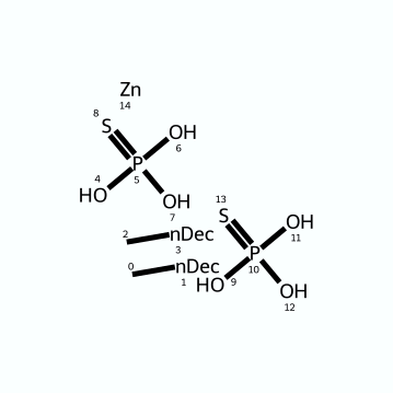 CCCCCCCCCCC.CCCCCCCCCCC.OP(O)(O)=S.OP(O)(O)=S.[Zn]